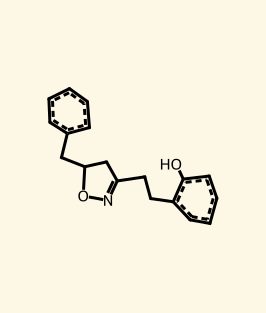 Oc1ccccc1CCC1=NOC(Cc2ccccc2)C1